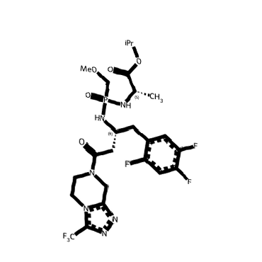 COCP(=O)(N[C@@H](CC(=O)N1CCn2c(nnc2C(F)(F)F)C1)Cc1cc(F)c(F)cc1F)N[C@@H](C)C(=O)OC(C)C